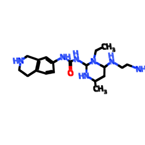 CCN1C(NCCN)CC(C)NC1NC(=O)Nc1ccc2c(c1)CNCC2